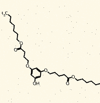 CCCCCCCOC(=O)CCCCOc1cc(O)cc(OCCCC(=O)OCCCCCCC)c1